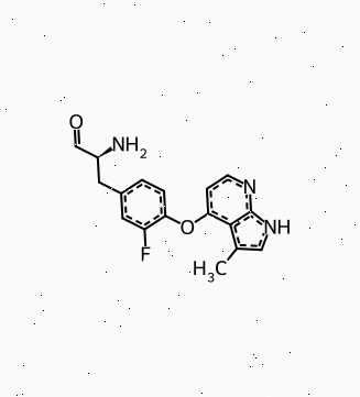 Cc1c[nH]c2nccc(Oc3ccc(C[C@H](N)C=O)cc3F)c12